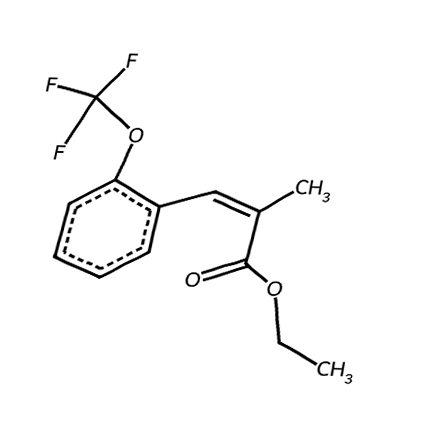 CCOC(=O)C(C)=Cc1ccccc1OC(F)(F)F